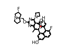 Cc1c(-c2cc(O)cc3ccc(F)c(-c4c[nH]nn4)c23)oc(=O)c2c(N3CCC3)nc(OC[C@@]34CCCN3C[C@H](F)C4)nc12